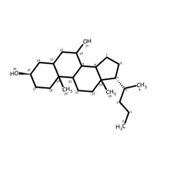 CCCC(C)[C@H]1CCC2C3C(O)CC4C[C@H](O)CCC4(C)C3CCC21C